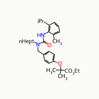 CCCCCCCN(Cc1ccc(OC(C)(C)C(=O)OCC)cc1)C(=O)Nc1c(C)cccc1C(C)C